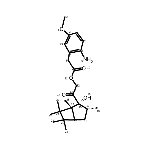 COc1ccc(N)c(CC(=O)OCC(=O)[C@@]2(O)[C@H](C)CC3C(C)(C)C(C)(C)[C@@]32C)c1